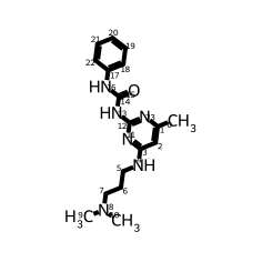 Cc1cc(NCCCN(C)C)nc(NC(=O)Nc2ccccc2)n1